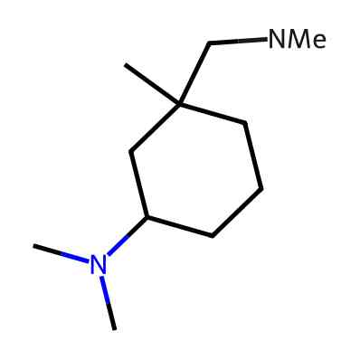 CNCC1(C)CCCC(N(C)C)C1